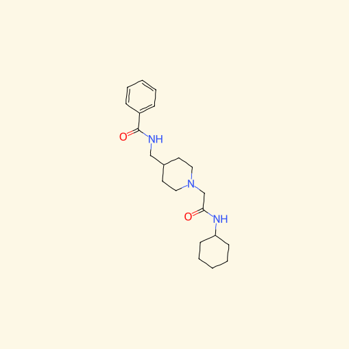 O=C(CN1CCC(CNC(=O)c2ccccc2)CC1)NC1CCCCC1